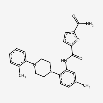 Cc1ccc(N2CCN(c3ccccc3C)CC2)c(NC(=O)c2ccc(C(N)=O)o2)c1